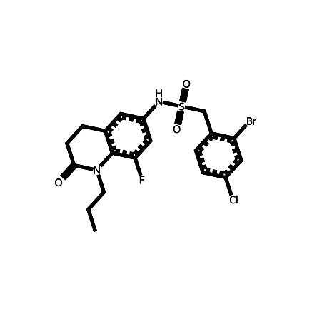 CCCN1C(=O)CCc2cc(NS(=O)(=O)Cc3ccc(Cl)cc3Br)cc(F)c21